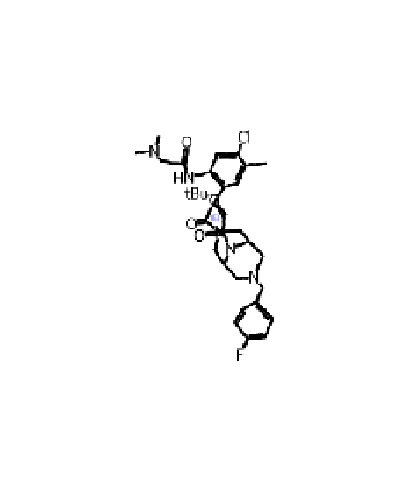 Cc1cc(/C=C/C(=O)N2C3CN(Cc4ccc(F)cc4)CC2CN(C(=O)OC(C)(C)C)C3)c(NC(=O)CN(C)C)cc1Cl